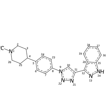 CN1CCC(c2ccc(-n3cc(-c4n[nH]c5ccccc45)nn3)cc2)CC1